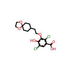 O=C(O)c1cc(Cl)c(O)c(OCCC2CCC3(CC2)OCCO3)c1Cl